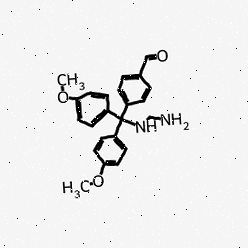 COc1ccc(C(NCN)(c2ccc(C=O)cc2)c2ccc(OC)cc2)cc1